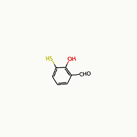 O=Cc1cccc(S)c1O